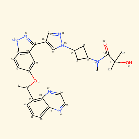 CC(Oc1ccc2[nH]nc(-c3cnn(C4CC(N(C)C(=O)C(C)(C)O)C4)c3)c2c1)c1cccc2nccnc12